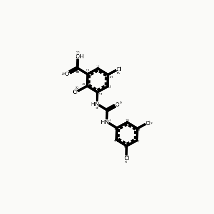 O=C(Nc1cc(Cl)cc(Cl)c1)Nc1cc(Cl)cc(C(=O)O)c1Cl